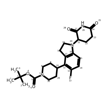 CC(C)(C)OC(=O)N1CCC(c2c(F)ccc3c2CCN3C2CCC(=O)NC2=O)CC1